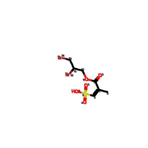 CC(=CS(=O)(=O)O)C(=O)OCC(Br)CBr